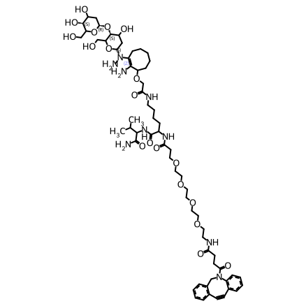 CC(C)C(NC(=O)C(CCCCNC(=O)COC1CCCCC/C(N(N)[C@@H]2CC(O)[C@H](O[C@@H]3CC(O)[C@H](O)C(CO)O3)C(CO)O2)=C\1N)NC(=O)CCOCCOCCOCCOCCNC(=O)CCC(=O)N1Cc2ccccc2C#Cc2ccccc21)C(N)=O